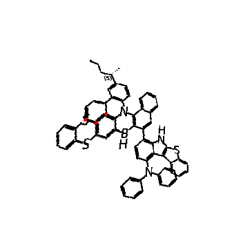 CCC[C@H](C)c1ccc(N2c3cc4c(cc3Bc3c(-c5ccc(N(c6ccccc6)c6ccccc6)c6c5[nH]c5sc7ccccc7c56)cc5ccccc5c32)Sc2ccccc2S4)c(-c2ccccc2)c1